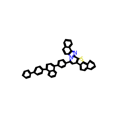 c1ccc(-c2ccc(-c3ccc(-c4ccc(-c5cc6c7ccc8ccccc8c7sc6c6nc7c8ccccc8ccc7n56)cc4)c4ccccc34)cc2)cc1